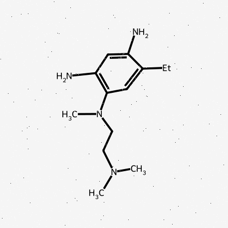 CCc1cc(N(C)CCN(C)C)c(N)cc1N